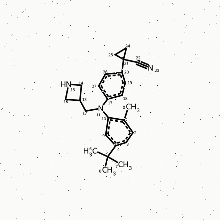 Cc1ccc(C(C)(C)C)cc1N(CC1CNC1)c1ccc(C2(C#N)CC2)cc1